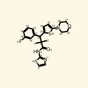 CC(C)(C(=O)Nc1nccs1)C(c1cccc(F)c1)c1ccc(N2CCOCC2)s1